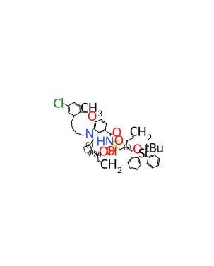 C=CC[C@@H](CO[Si](c1ccccc1)(c1ccccc1)C(C)(C)C)CS(=O)(=O)NC(=O)c1ccc2c(c1)N(C[C@@H]1CC[C@H]1[C@H](O)C=C)CCCCC1C=C(Cl)C=CC1(C)CO2